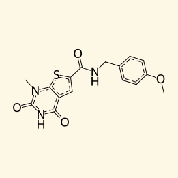 COc1ccc(CNC(=O)c2cc3c(=O)[nH]c(=O)n(C)c3s2)cc1